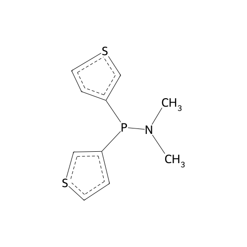 CN(C)P(c1ccsc1)c1ccsc1